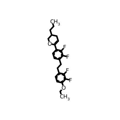 CCCC1CC=C(c2ccc(CCc3ccc(OCC)c(F)c3F)c(F)c2F)OC1